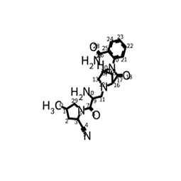 CC1CC(C#N)N(C(=O)C(N)CN2C[C@@H]3CC2C(=O)N3c2ccccc2C(N)=O)C1